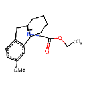 COc1ccc2c(c1)C13CCCCC1(CCN3C(=O)OCC(Cl)(Cl)Cl)C2